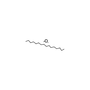 CCCCCCCCCCCCCCCC.COC